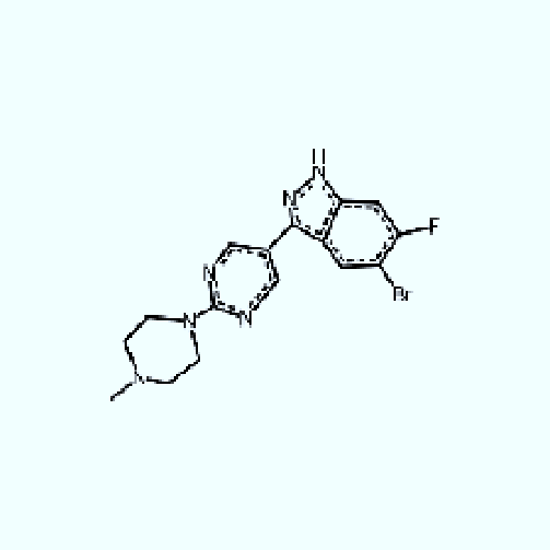 CN1CCN(c2ncc(-c3n[nH]c4cc(F)c(Br)cc34)cn2)CC1